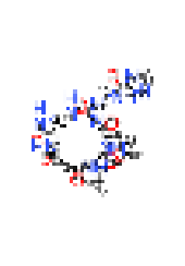 NC(=O)C1CCNC(=O)C(CCCNC(=O)c2cnccn2)NC(=O)C(Cc2ccco2)NC(=O)C(CC2CC2)NC(=O)C=CC(=O)N1